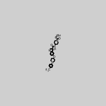 CC(C)(C)OC(=O)N1CCC(NC(=O)c2cnc3ccc(OC4CCN(c5ccc(C(F)(F)F)cc5)CC4)cc3c2)CC1